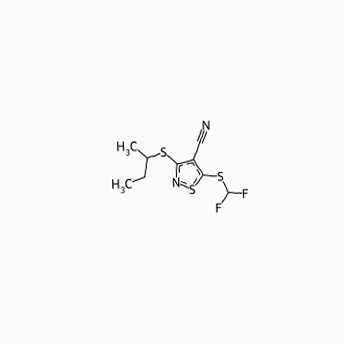 CCC(C)Sc1nsc(SC(F)F)c1C#N